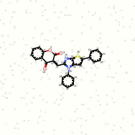 O=C1Oc2ccccc2C(=O)/C1=C/c1nc2sc(-c3ccccc3)cc2n1-c1ccccc1